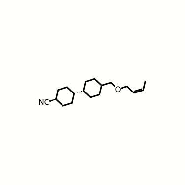 C/C=C\COCC1CCC([C@H]2CC[C@H](C#N)CC2)CC1